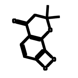 CC1(C)CC(=O)c2ccc3ooc3c2O1